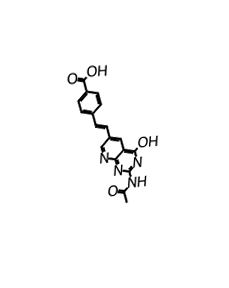 CC(=O)Nc1nc(O)c2cc(/C=C/c3ccc(C(=O)O)cc3)cnc2n1